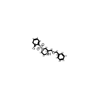 O=S(=O)(C1=CC=CCC1=S)N1CCNC(COCc2ccccc2)C1